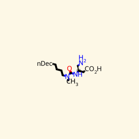 CCCCCCCCCCCCCCN(C)C(=O)N[C@@H](CN)CC(=O)O